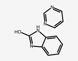 Oc1nc2ccccc2[nH]1.c1cncnc1